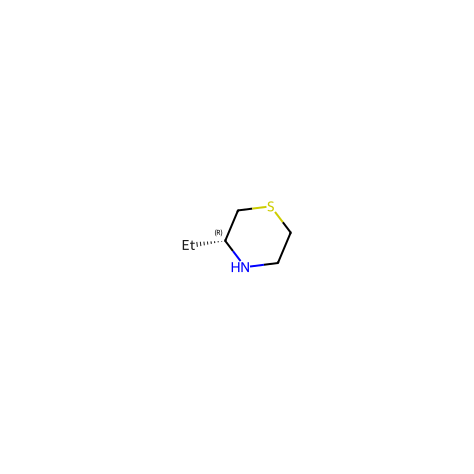 CC[C@@H]1CSCCN1